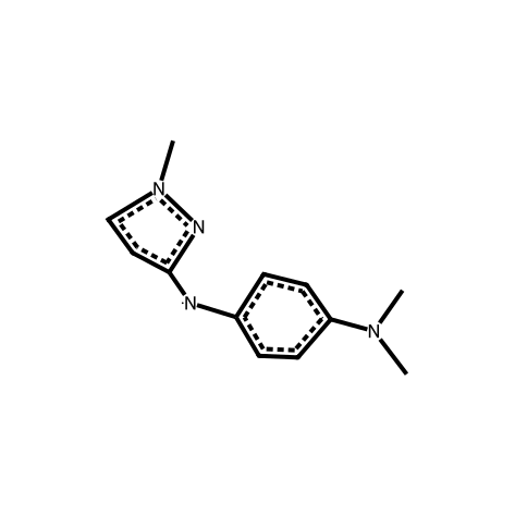 CN(C)c1ccc([N]c2ccn(C)n2)cc1